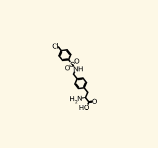 N[C@@H](Cc1ccc(CNS(=O)(=O)c2ccc(Cl)cc2)cc1)C(=O)O